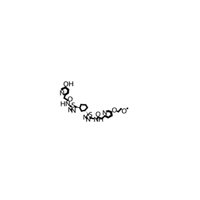 COCCOc1ccc(CC(=O)Nc2nnc([C@H]3CCC[C@H](c4nnc(NC(=O)Cc5ccc(O)cn5)s4)C3)s2)nc1